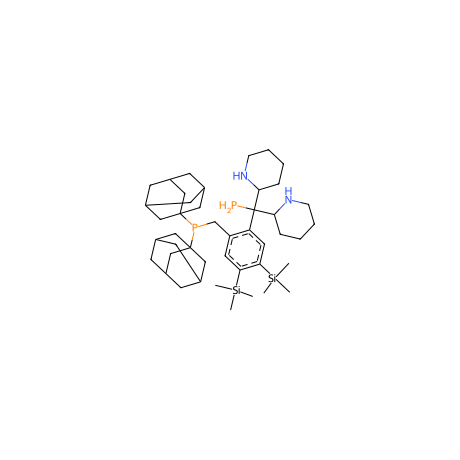 C[Si](C)(C)c1cc(CP(C23CC4CC(CC(C4)C2)C3)C23CC4CC(CC(C4)C2)C3)c(C(P)(C2CCCCN2)C2CCCCN2)cc1[Si](C)(C)C